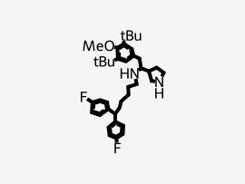 COc1c(C(C)(C)C)cc(CC(NCCCCCC(c2ccc(F)cc2)c2ccc(F)cc2)C2CCNC2)cc1C(C)(C)C